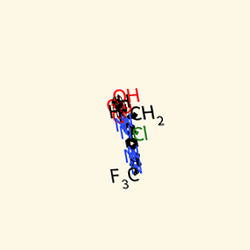 C=CCn1c(O[C@@H]2CO[C@H]3[C@@H]2OC[C@H]3O)nc2nc(-c3ccc(-n4cc5c(n4)CN(CC(F)(F)F)C5)cc3)c(Cl)cc21